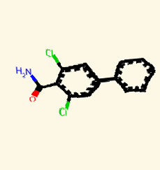 NC(=O)c1c(Cl)cc(-c2ccccc2)cc1Cl